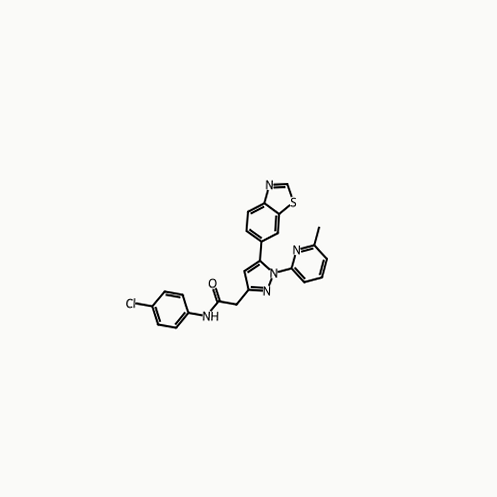 Cc1cccc(-n2nc(CC(=O)Nc3ccc(Cl)cc3)cc2-c2ccc3ncsc3c2)n1